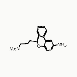 CNCCCC1Oc2ccc(N)cc2-c2ccccc21